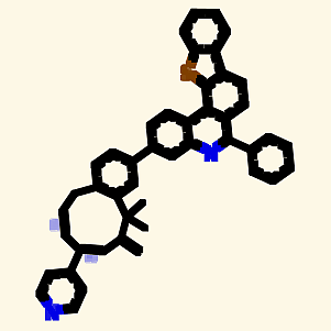 C=C1/C=C(c2ccncc2)\C=C/Cc2ccc(-c3ccc4c(c3)nc(-c3ccccc3)c3ccc5c6ccccc6sc5c34)cc2C1(C)C